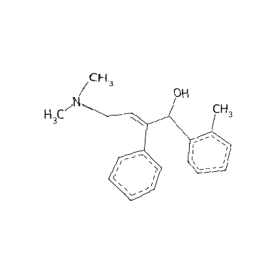 Cc1ccccc1C(O)C(=CCN(C)C)c1ccccc1